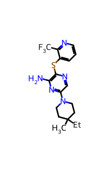 CCC1(C)CCN(c2cnc(Sc3cccnc3C(F)(F)F)c(N)n2)CC1